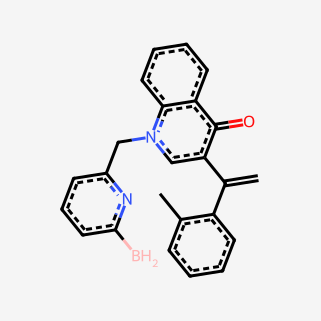 Bc1cccc(Cn2cc(C(=C)c3ccccc3C)c(=O)c3ccccc32)n1